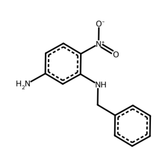 Nc1ccc([N+](=O)[O-])c(NCc2ccccc2)c1